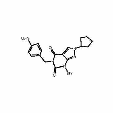 CCCn1c(=O)n(Cc2ccc(OC)cc2)c(=O)c2cn(C3CCCC3)nc21